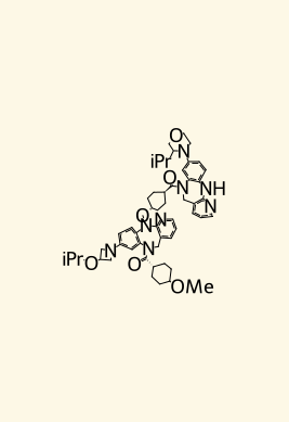 CO[C@H]1CC[C@H](C(=O)N2Cc3cccnc3N(O[C@H]3CC[C@H](C(=O)N4Cc5cccnc5Nc5ccc(N6CCOCC6C(C)C)cc54)CC3)c3ccc(N4CC(OC(C)C)C4)cc32)CC1